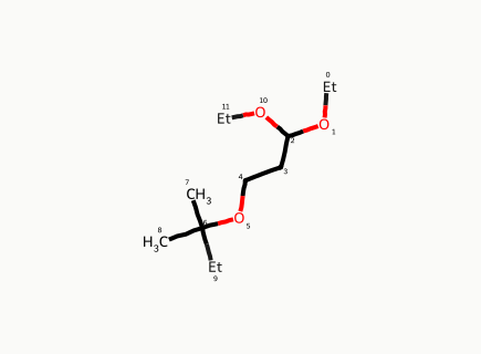 CCOC(CCOC(C)(C)CC)OCC